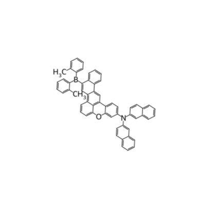 Cc1ccccc1B(c1ccccc1C)c1cc2c3cccc4c3c(cc2c2ccccc12)-c1ccc(N(c2ccc3ccccc3c2)c2ccc3ccccc3c2)cc1O4